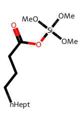 CCCCCCCCCCC(=O)O[Si](OC)(OC)OC